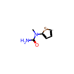 CN(C(N)=O)c1cc[c]s1